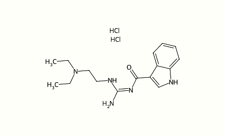 CCN(CC)CCNC(N)=NC(=O)c1c[nH]c2ccccc12.Cl.Cl